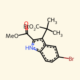 CCOC(=O)C(C)(C)c1c(C(=O)OC)[nH]c2ccc(Br)cc12